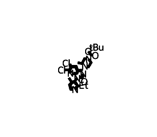 CCc1nccc(C)c1-n1c(=O)nc(N2CCN(C(=O)OC(C)(C)C)CC2C)c2cc(Cl)c(Cl)nc21